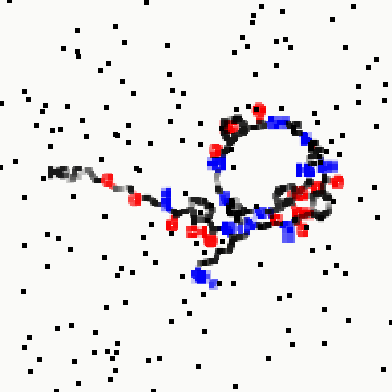 NCCCCC(CN1CCNC(=O)c2cccc(c2O)C(=O)NCCN2CCNC(=O)c3cccc(c3O)C(=O)NCCN(CCNC(=O)c3cccc(c3O)C(=O)NCC2)CC1)NC(=O)c1cccc(C(=O)NCCOCCOCCC(=O)O)c1O